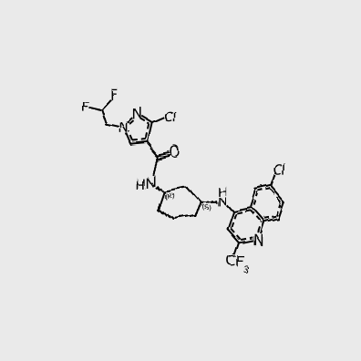 O=C(N[C@@H]1CCC[C@H](Nc2cc(C(F)(F)F)nc3ccc(Cl)cc23)C1)c1cn(CC(F)F)nc1Cl